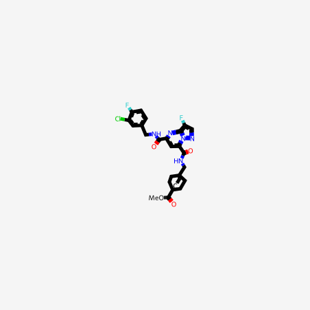 COC(=O)C12CCC(CNC(=O)c3cc(C(=O)NCc4ccc(F)c(Cl)c4)nc4c(F)cnn34)(CC1)CC2